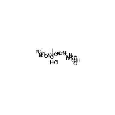 CC1(C)[C@H](NC(=O)c2ccc(N3CCC(CN4CCC(n5ncc6c(N7CCC(=O)NC7=O)ccnc65)CC4)CC3)nc2)C(C)(C)[C@H]1Oc1ccc(C#N)c2ncccc12.Cl